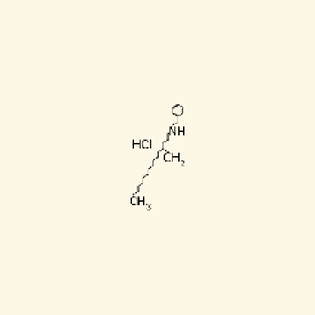 C=CC(CCCCCCCCCCCC)CCCNCCc1ccccc1.Cl